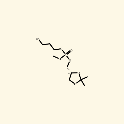 COP(=O)(OCCCBr)OC[C@H]1COC(C)(C)O1